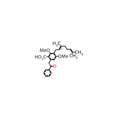 COc1cc(CC(=O)c2ccccc2)c(C(=O)O)c(OC)c1C/C=C(\C)CCC=C(C)C